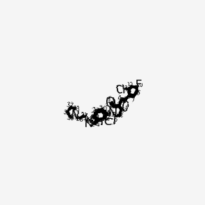 Cl.O=c1c2cc(-c3ccc(F)cc3Cl)oc2ccn1-c1ccc2c(cnn2CCN2CCCC2)c1